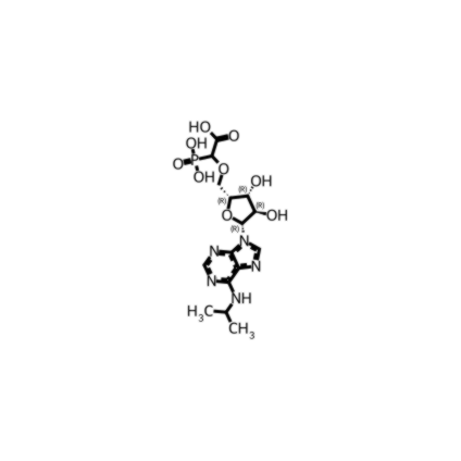 CC(C)Nc1ncnc2c1ncn2[C@@H]1O[C@H](COC(C(=O)O)P(=O)(O)O)[C@H](O)[C@H]1O